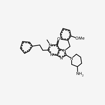 COc1ccccc1Cn1c(N2CCCC(N)C2)nc2nc(CCc3ccccc3)n(C)c(=O)c21